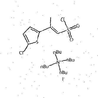 C/C(=C\S(=O)(=O)Cl)c1ccc(Cl)s1.CCCC[N+](CCCC)(CCCC)CCCC.[I-]